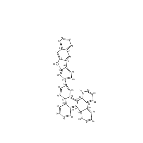 c1ccc2cc3c(cc2c1)oc1cc(-c2ccc4c5ccccc5c5c6ccccc6c6ccccc6c5c4c2)ccc13